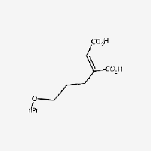 CCCOCCC/C(=C/C(=O)O)C(=O)O